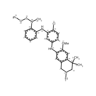 CCN1Cc2cc(Nc3ncc(Cl)c(Nc4ccccc4N(C)SOC(C)C)n3)c(OC)cc2C(C)(C)C1